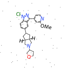 COc1cc(-c2nn(Cl)c3ccc(C4C[C@@H]5CN(C6CCOC6)C[C@@H]5C4)cc23)ccn1